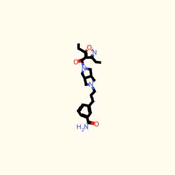 CCc1noc(CC)c1C(=O)N1CC2CN(CC[CH]c3cccc(C(N)=O)c3)CC2C1